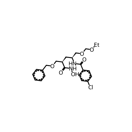 CCOCOC[C@H](C[C@H](COCc1ccccc1)C(=O)NO)NC(=O)c1ccc(Cl)cc1